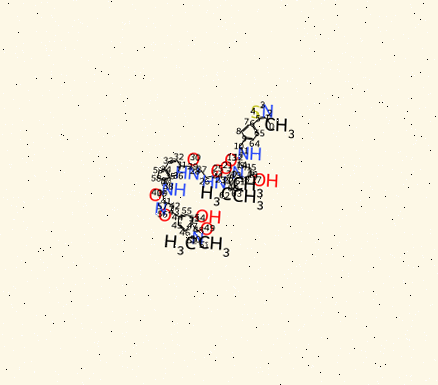 Cc1ncsc1-c1ccc(CNC(=O)[C@@H]2C[C@@H](O)CN2C(=O)[C@@H](NC(=O)CCNC(=O)c2ccc3c(c2)[C@H](NC(=O)c2cc(-c4ccc(C(=O)N(C)C)c(O)c4)on2)CC3)C(C)(C)C)cc1